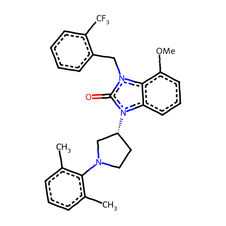 COc1cccc2c1n(Cc1ccccc1C(F)(F)F)c(=O)n2[C@@H]1CCN(c2c(C)cccc2C)C1